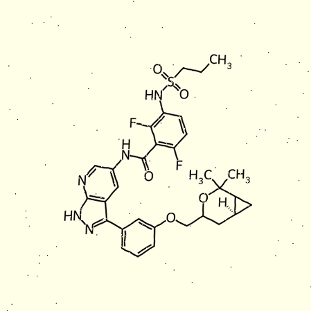 CCCS(=O)(=O)Nc1ccc(F)c(C(=O)Nc2cnc3[nH]nc(-c4cccc(OCC5C[C@@H]6CC6C(C)(C)O5)c4)c3c2)c1F